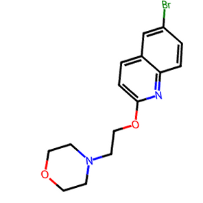 Brc1ccc2nc(OCCN3CCOCC3)ccc2c1